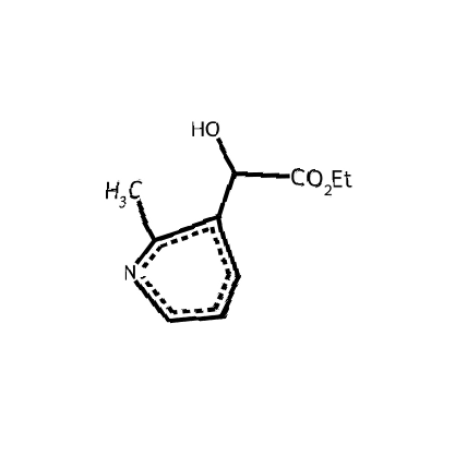 CCOC(=O)C(O)c1cccnc1C